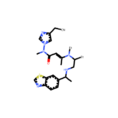 CCC(CNC(C)c1ccc2ncsc2c1)N(CC)/C(C)=C/C(=O)N(C)n1cnc(CC#N)c1